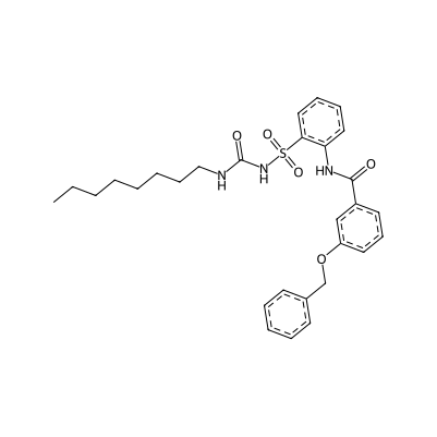 CCCCCCCCNC(=O)NS(=O)(=O)c1ccccc1NC(=O)c1cccc(OCc2ccccc2)c1